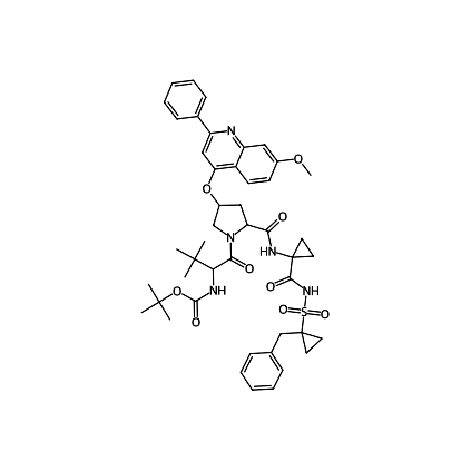 COc1ccc2c(OC3CC(C(=O)NC4(C(=O)NS(=O)(=O)C5(Cc6ccccc6)CC5)CC4)N(C(=O)C(NC(=O)OC(C)(C)C)C(C)(C)C)C3)cc(-c3ccccc3)nc2c1